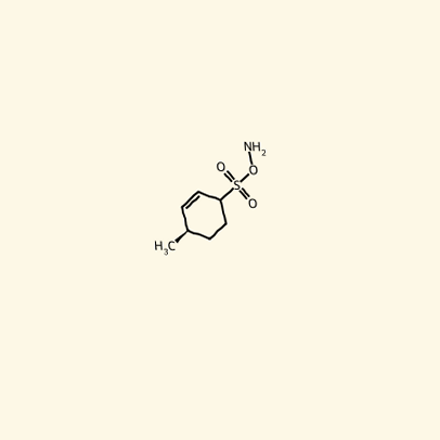 C[C@H]1C=CC(S(=O)(=O)ON)CC1